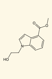 COC(=O)c1cccc2c1ccn2CCO